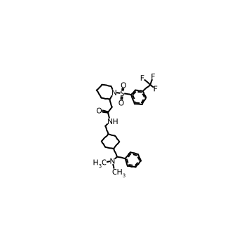 CN(C)C(c1ccccc1)C1CCC(CNC(=O)CC2CCCCN2S(=O)(=O)c2cccc(C(F)(F)F)c2)CC1